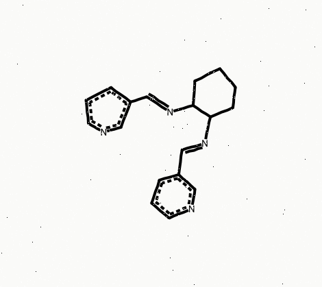 C(=NC1CCCCC1N=Cc1cccnc1)c1cccnc1